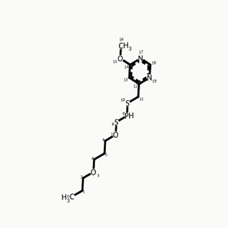 CCCOCCCOSPSCc1cc(OC)ncn1